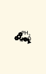 C[C@@H](C[C@H]1Cc2cc(P)ccc2Cc2ccccc21)CN1CCN(C(=O)C2CC2)CC1